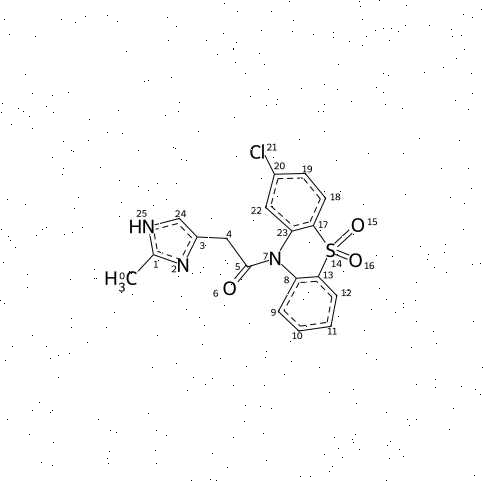 Cc1nc(CC(=O)N2c3ccccc3S(=O)(=O)c3ccc(Cl)cc32)c[nH]1